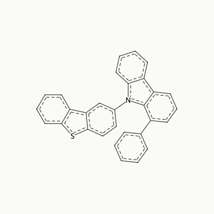 c1ccc(-c2cccc3c4ccccc4n(-c4ccc5sc6ccccc6c5c4)c23)cc1